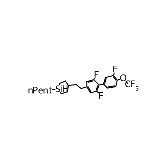 CCCCC[SiH]1CCC(CCc2cc(F)c(-c3ccc(OC(F)(F)F)c(F)c3)c(F)c2)CC1